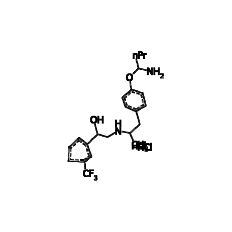 CCCC(N)Oc1ccc(CC(C)NCC(O)c2cccc(C(F)(F)F)c2)cc1.Cl.Cl